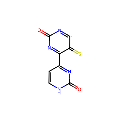 O=C1N=[C]C(=S)C(c2cc[nH]c(=O)n2)=N1